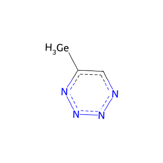 [GeH3][c]1cnnnn1